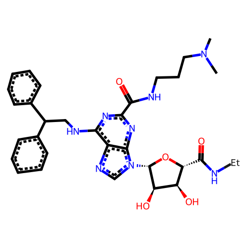 CCNC(=O)[C@H]1O[C@@H](n2cnc3c(NCC(c4ccccc4)c4ccccc4)nc(C(=O)NCCCN(C)C)nc32)[C@H](O)[C@@H]1O